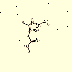 COC(=O)Cc1sc(SC)nc1C